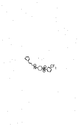 O=S(=O)(c1cccc(C(F)(F)F)c1)N1CCC(=NOCC=Cc2ccccc2)CC1